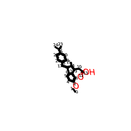 CCOc1ccc2c(c1)C(CC(=O)O)=C(C)C2=Cc1ccc(C(C)C)cc1